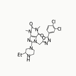 CCC1CN(c2nc3c(c(=O)n(C)c(=O)n3C)n2Cc2nnc(-c3ccc(Cl)c(Cl)c3)o2)CCN1